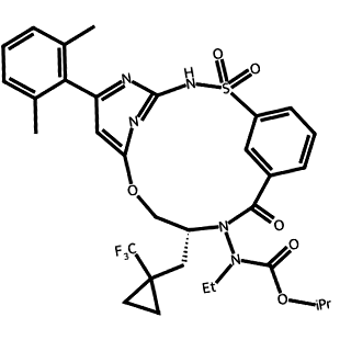 CCN(C(=O)OC(C)C)N1C(=O)c2cccc(c2)S(=O)(=O)Nc2nc(cc(-c3c(C)cccc3C)n2)OC[C@H]1CC1(C(F)(F)F)CC1